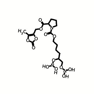 Cc1oc(=O)oc1COC(=O)C1CCCN1C(=O)OCCCCC(CON(O)O)ON(O)O